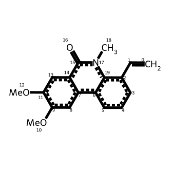 C=Cc1cccc2c3cc(OC)c(OC)cc3c(=O)n(C)c12